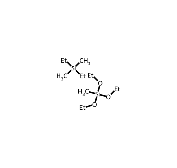 CCO[Si](C)(OCC)OCC.CC[Si](C)(C)CC